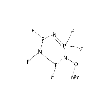 CCCON1P(F)N(F)P(F)N=P1(F)F